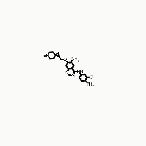 CN1CCC2(CC1)CC2COc1cc2ncnc(Nc3ccc(P)c(Cl)c3)c2cc1N